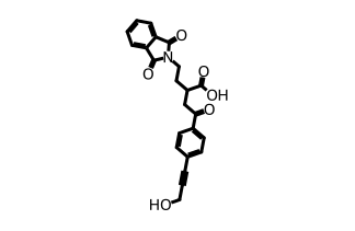 O=C(CC(CCN1C(=O)c2ccccc2C1=O)C(=O)O)c1ccc(C#CCO)cc1